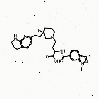 Cn1ncc2ccc(C(=O)NC(CCN3CCC[C@@](F)(CCc4ccc5c(n4)NCCC5)C3)C(=O)O)cc21